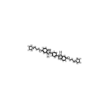 c1cc2nc(-c3ccc(-c4nc5ccc(OCCCN6CCCC6)cc5[nH]4)cc3)[nH]c2cc1OCCCN1CCCC1